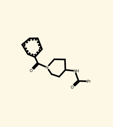 CC(C)C(=O)NC1CCN(C(=O)c2ccccc2)CC1